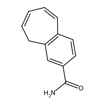 NC(=O)c1ccc2c(c1)CC=CC=C2